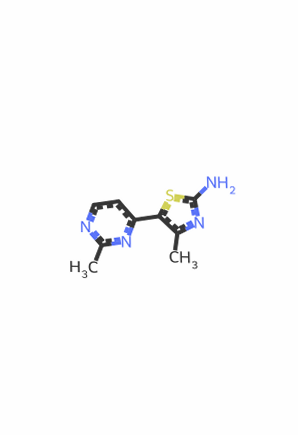 Cc1nccc(-c2sc(N)nc2C)n1